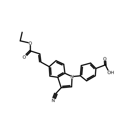 CCOC(=O)C=Cc1ccc2c(c1)c(C#N)cn2-c1ccc(C(=O)O)cc1